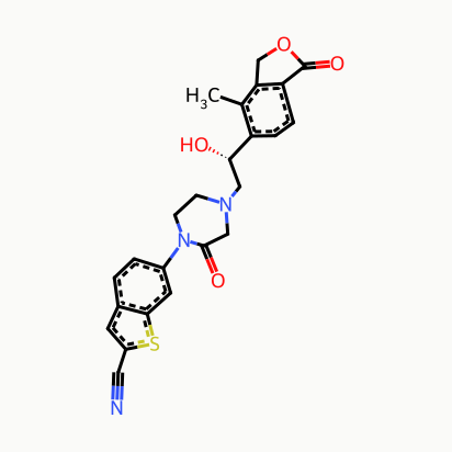 Cc1c([C@@H](O)CN2CCN(c3ccc4cc(C#N)sc4c3)C(=O)C2)ccc2c1COC2=O